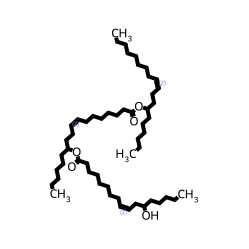 CCCCCCCC/C=C\CCC(CCCCCC)OC(=O)CCCCCC/C=C\CCC(CCCCCC)OC(=O)CCCCCCC/C=C\CC(O)CCCCC